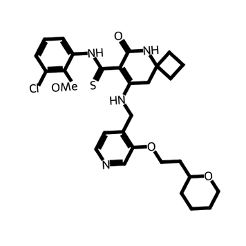 COc1c(Cl)cccc1NC(=S)C1=C(NCc2ccncc2OCCC2CCCCO2)CC2(CCC2)NC1=O